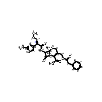 CO/N=C(/C(=O)NC1C(=O)N2C(C(=O)O)=C(COC(=O)Cc3ccccc3)CS[C@H]12)c1csc(N)n1